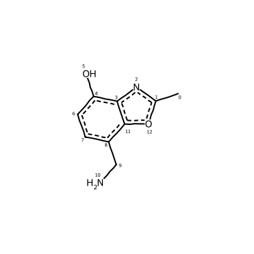 Cc1nc2c(O)ccc(CN)c2o1